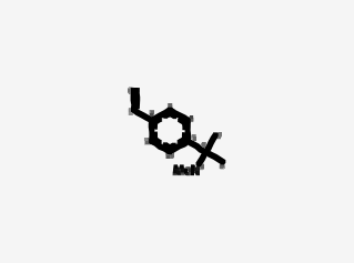 C=Cc1ccc(C(C)(C)NC)cc1